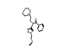 C=CCCn1cc(N(CCN2CCOCC2)C(=O)c2ccccc2)nn1